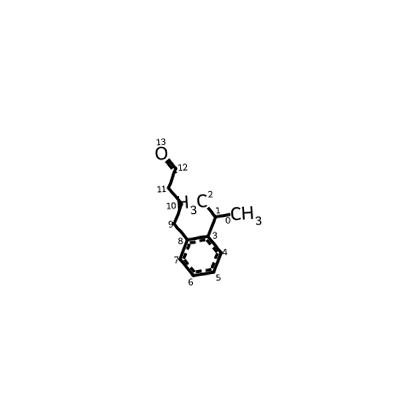 CC(C)c1ccccc1CCC[C]=O